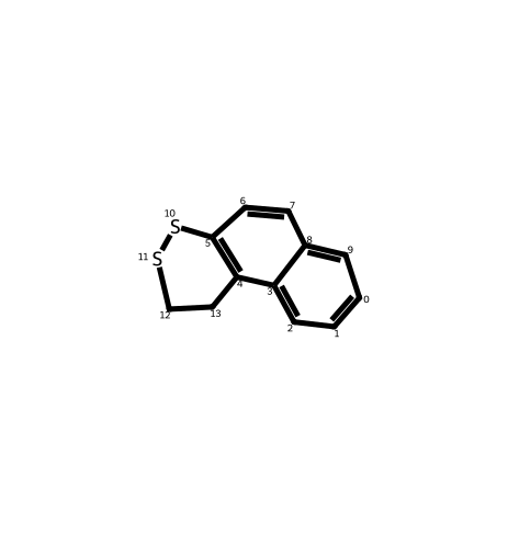 c1ccc2c3c(ccc2c1)SSCC3